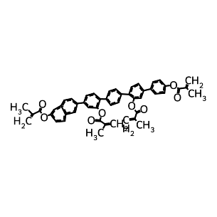 C=C(C)C(=O)Oc1ccc(-c2ccc(-c3ccc(-c4ccc(-c5ccc6cc(OC(=O)C(=C)C)ccc6c5)cc4OC(=O)C(=C)C)cc3)c(OC(=O)C(=C)C)c2)cc1